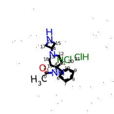 CC(=O)NC1(c2ccccc2)CCN(C2CNC2)CC1.Cl.Cl